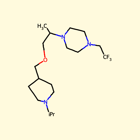 CC(C)N1CCC(COCC(C)N2CCN(CC(F)(F)F)CC2)CC1